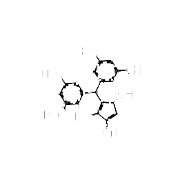 CC1=CC(C)C(C(c2cc(C)cc(C)c2)c2cc(C)cc(C)c2)=C1C